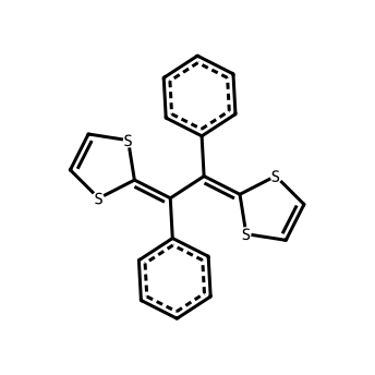 C1=CSC(=C(C(=C2SC=CS2)c2ccccc2)c2ccccc2)S1